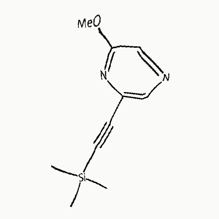 COc1cncc(C#C[Si](C)(C)C)n1